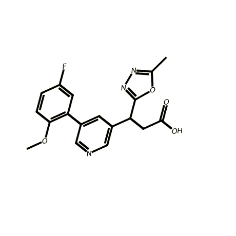 COc1ccc(F)cc1-c1cncc(C(CC(=O)O)c2nnc(C)o2)c1